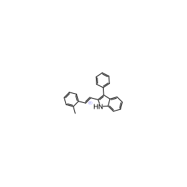 Cc1ccccc1/C=C/c1[nH]c2ccccc2c1-c1ccccc1